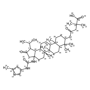 CC(C)C1C(=O)CC2(NC(=O)Nc3cnn(C)c3)CC[C@]3(C)C(CCC4C5(C)CCC(OC(=O)CC(C)(C)C(=O)O)C(C)(C)C5CCC43C)C12